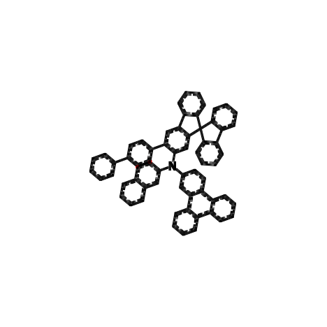 c1ccc(-c2ccc(-c3cc4c(cc3N(c3ccc5ccccc5c3)c3ccc5c6ccccc6c6ccccc6c5c3)C3(c5ccccc5-c5ccccc53)c3ccccc3-4)cc2)cc1